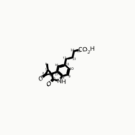 CC1C(=O)C12C(=O)Nc1ccc(CCCC(=O)O)cc12